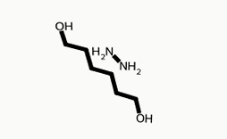 NN.OCCCCCCO